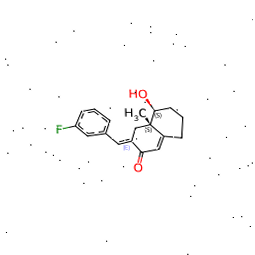 C[C@]12C/C(=C\c3cccc(F)c3)C(=O)C=C1CCC[C@@H]2O